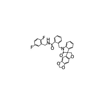 O=C(NCc1cc(F)ccc1F)c1ccccc1CN1C(=O)C2(COc3cc4c(cc32)OCO4)c2ccccc21